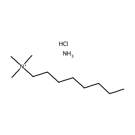 CCCCCCCC[N+](C)(C)C.Cl.N